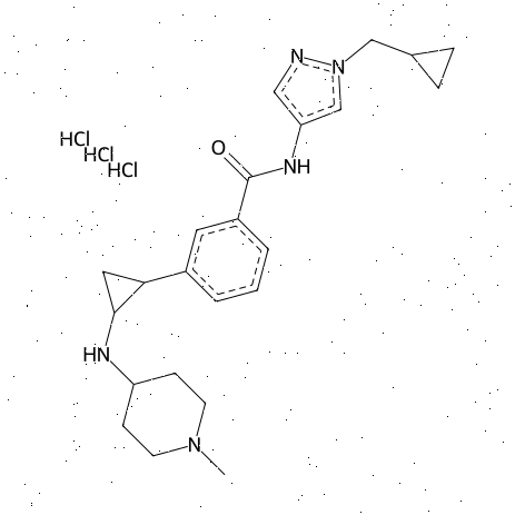 CN1CCC(NC2CC2c2cccc(C(=O)Nc3cnn(CC4CC4)c3)c2)CC1.Cl.Cl.Cl